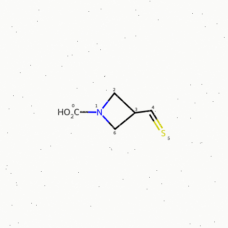 O=C(O)N1CC(C=S)C1